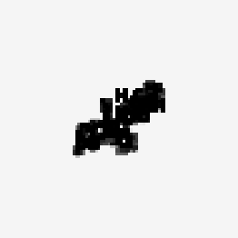 C[C@H](NS(=O)(=O)c1ccc(-c2c(C#N)c3cc(F)c(OC(F)F)cc3n2-c2ccccn2)nc1)C(F)(F)F